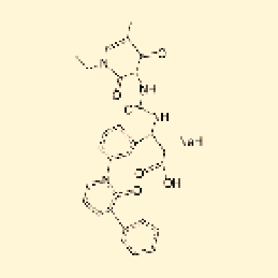 CCN1C=C(C)C(=O)C(NC(=O)NC(CC(=O)O)c2cccc(-n3cccc(-c4ccccc4)c3=O)c2)C1=O.[NaH]